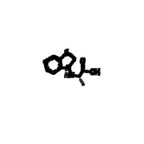 C[C@H](NN1CSc2ccccc21)C(=O)O